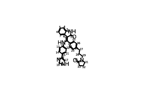 O=C1Nc2ccccc2C1=C(Nc1ccc(-c2c[nH]cn2)cc1)c1ccc(CCCN2CCCC2=O)cc1